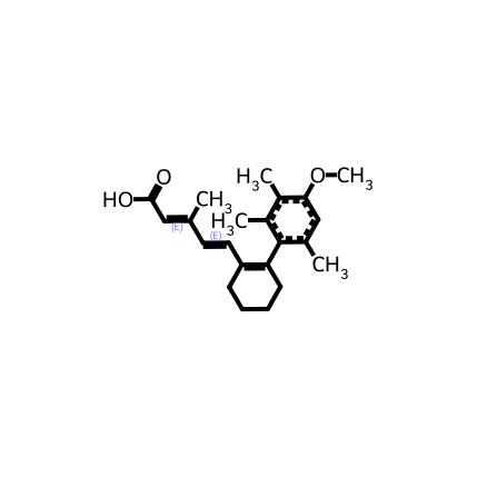 COc1cc(C)c(C2=C(/C=C/C(C)=C/C(=O)O)CCCC2)c(C)c1C